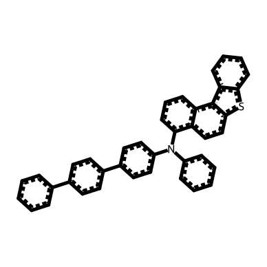 c1ccc(-c2ccc(-c3ccc(N(c4ccccc4)c4cccc5c4ccc4sc6ccccc6c45)cc3)cc2)cc1